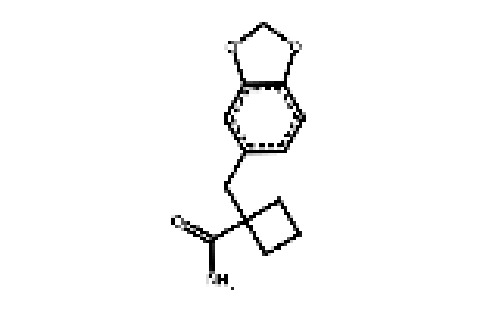 NC(=O)C1(Cc2ccc3c(c2)OCO3)CCC1